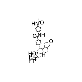 CC(=O)Nc1ccc(NC(=O)c2ccc([C@H]3CC4(C)[C@@H](CC[C@@]4(O)C(F)(F)C(F)(F)F)C4CCC5=CC(=O)CCC5=C43)cc2)cc1